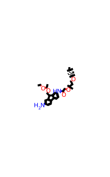 CCOC(C)OCC1c2cc(N)ccc2-c2ccc(NC(=O)COC(C)(C)CCOC(C)(C)[Si](C)(C)C(C)(C)C)cc21